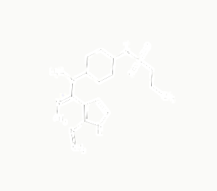 C=Nc1[nH]ccc1/C(=N\C)N(C)C1CCC(NS(=O)(=O)CCC)CC1